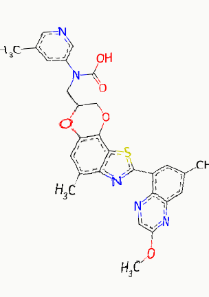 COc1cnc2c(-c3nc4c(C)cc5c(c4s3)OCC(CN(C(=O)O)c3cncc(C)c3)O5)cc(C)cc2n1